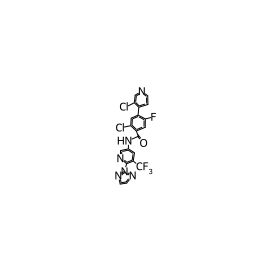 O=C(Nc1cnc(-n2nccn2)c(C(F)(F)F)c1)c1cc(F)c(-c2ccncc2Cl)cc1Cl